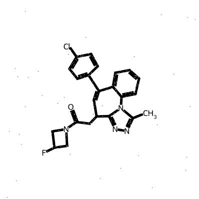 Cc1nnc2n1-c1ccccc1C(c1ccc(Cl)cc1)=CC2CC(=O)N1CC(F)C1